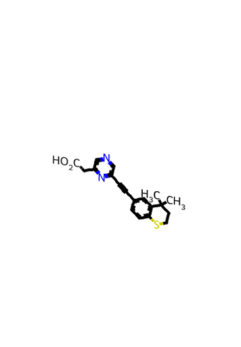 CC1(C)CCSc2ccc(C#Cc3cncc(CC(=O)O)n3)cc21